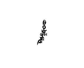 Cc1cc(NC(=O)c2cnn(-c3ccc(F)cn3)c2C)cnc1C1=CCC(N2CCOCC2)CC1